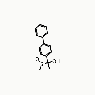 C[S+]([O-])C(C)(O)c1ccc(-c2ccccc2)cc1